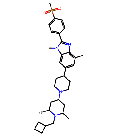 CCC1CC(N2CCC(c3cc(C)c4nc(-c5ccc(S(C)(=O)=O)cc5)n(C)c4c3)CC2)CC(C)N1CC1CCC1